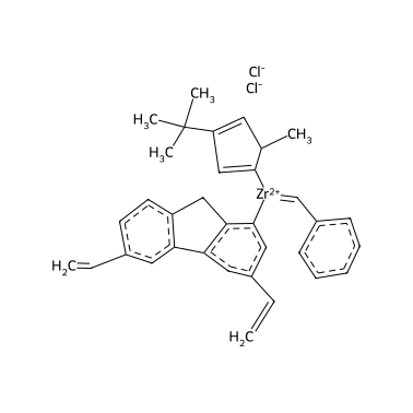 C=Cc1ccc2c(c1)-c1cc(C=C)c[c](/[Zr+2](=[CH]\c3ccccc3)[C]3=CC(C(C)(C)C)=CC3C)c1C2.[Cl-].[Cl-]